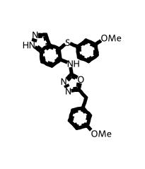 COc1cccc(Cc2nnc(Nc3ccc4[nH]ncc4c3Sc3cccc(OC)c3)o2)c1